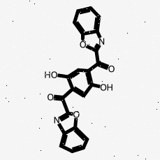 O=C(c1nc2ccccc2o1)c1cc(O)c(C(=O)c2nc3ccccc3o2)cc1O